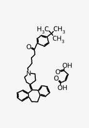 CC(C)(C)c1ccc(C(=O)CCCCN2CCC(=C3c4ccccc4CCc4ccccc43)CC2)cc1.O=C(O)/C=C\C(=O)O